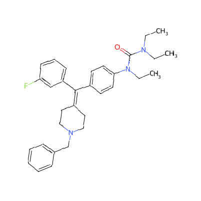 CCN(CC)C(=O)N(CC)c1ccc(C(=C2CCN(Cc3ccccc3)CC2)c2cccc(F)c2)cc1